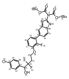 CC(C)(C)OC(=O)N(C(=O)OC(C)(C)C)c1nc2cc(-c3cccc(OCCC(F)(F)C(O)c4ccc(Cl)cc4)c3F)ccn2n1